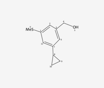 CSc1cc(CO)cc(C2CC2)c1